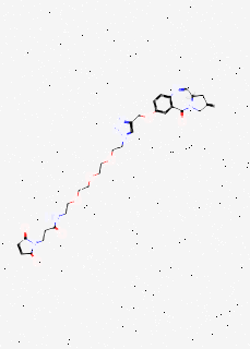 C=C1C[C@H]2C=Nc3ccc(OCc4cn(CCOCCOCCOCCNC(=O)CCN5C(=O)C=CC5=O)nn4)cc3C(=O)N2C1